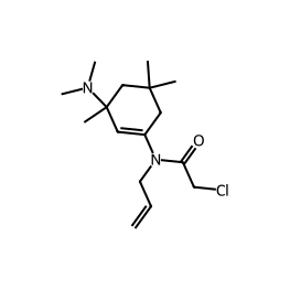 C=CCN(C(=O)CCl)C1=CC(C)(N(C)C)CC(C)(C)C1